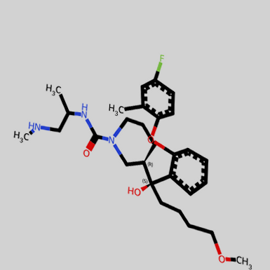 CNCC(C)NC(=O)N1CCC[C@@H]([C@@](O)(CCCCOC)c2ccccc2Oc2ccc(F)cc2C)C1